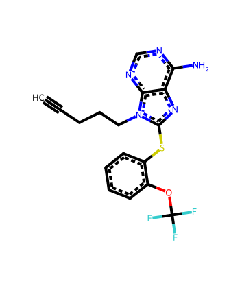 C#CCCCn1c(Sc2ccccc2OC(F)(F)F)nc2c(N)ncnc21